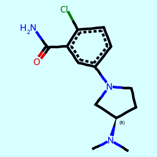 CN(C)[C@@H]1CCN(c2ccc(Cl)c(C(N)=O)c2)C1